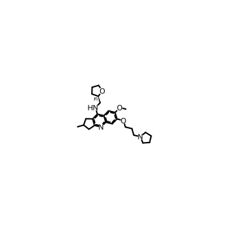 COc1cc2c(NC[C@H]3CCCO3)c3c(nc2cc1OCCCN1CCCC1)CC(C)C3